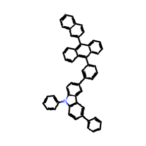 c1ccc(-c2ccc3c(c2)c2cc(-c4cccc(-c5c6ccccc6c(-c6ccc7ccccc7c6)c6ccccc56)c4)ccc2n3-c2ccccc2)cc1